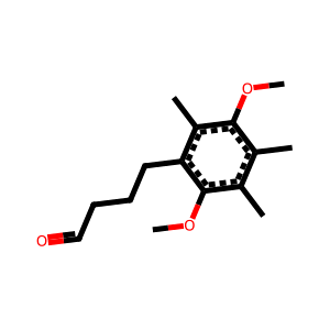 COc1c(C)c(C)c(OC)c(CCCC=O)c1C